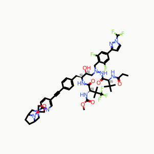 CCC(=O)N[C@H](C(=O)NN(Cc1c(F)cc(-c2ccn(C(F)F)n2)cc1F)C[C@H](O)[C@H](Cc1ccc(C#Cc2ccc(N3CC4CCC(C3)N4C3COC3)nc2)cc1)NC(=O)[C@@H](NC(=O)OC)C(C)(C)C(F)(F)F)C(C)(C)C